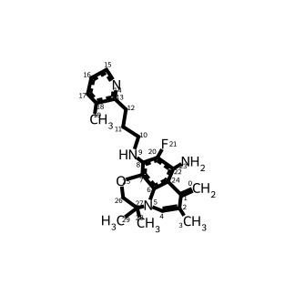 C=C1C(C)=CN2c3c(c(NCCCc4ncccc4C)c(F)c(N)c31)OCC2(C)C